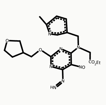 CCOC(=O)CN(Cc1ccc(C)nc1)c1nc(OCC2CCOC2)nc(N=N)c1N=O